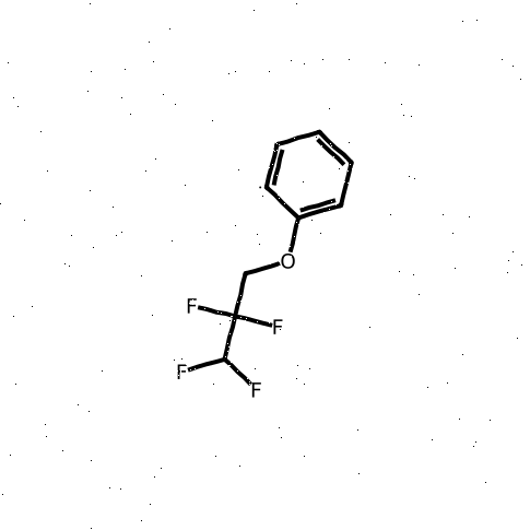 FC(F)C(F)(F)COc1[c]cccc1